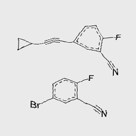 N#Cc1cc(Br)ccc1F.N#Cc1cc(C#CC2CC2)ccc1F